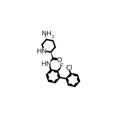 N[C@@H]1CC[C@@H](C(=O)Nc2cccc(-c3ccccc3Cl)c2F)NC1